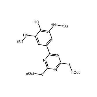 CCCCCCCCSc1nc(SCCCCCCCC)nc(-c2cc(NC(C)(C)C)c(O)c(NC(C)(C)C)c2)n1